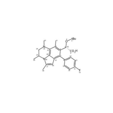 Cc1c([C@H](OC(C)(C)C)C(=O)O)c(-c2ccc(F)cc2)c2cc(C)n3c2c1N(C)CC3C